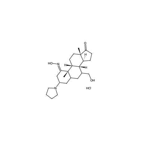 C[C@]12C(=NO)CC(N3CCCC3)CC1CC(CO)[C@@H]1[C@H]2CC[C@]2(C)C(=O)CC[C@@H]12.Cl